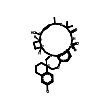 CC1C=C[C@H](O)[C@@H]2CC[C@H]2CN2C[C@@]3(CCCc4cc(Cl)ccc43)COc3ccc(cc32)S(=O)(=O)NC(=O)C(C)(C)O1